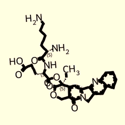 CC[C@@]1(OC(=O)[C@H](CCC(=O)O)NC(=O)[C@@H](N)CCCCN)C(=O)OCc2c1cc1n(c2=O)Cc2cc3ccccc3nc2-1